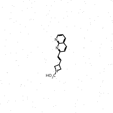 O=C(O)N1CC(/C=C/c2ccc3cccnc3n2)C1